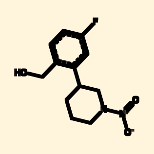 O=[N+]([O-])N1CCCC(c2cc(F)ccc2CO)C1